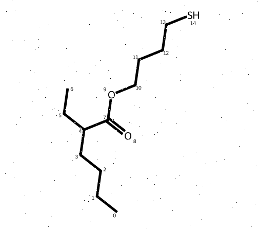 CCCCC(CC)C(=O)OCCCCS